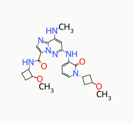 CNc1cc(Nc2cccn([C@H]3C[C@H](OC)C3)c2=O)nn2c(C(=O)NC3CC[C@@H]3OC)cnc12